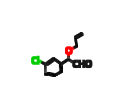 C=CCOC(C=O)c1cccc(Cl)c1